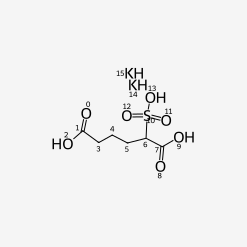 O=C(O)CCCC(C(=O)O)S(=O)(=O)O.[KH].[KH]